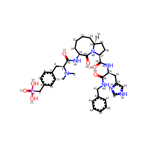 CN(C)[C@@H](Cc1ccc(CP(=O)(O)O)cc1)C(=O)N[C@H]1CCCC[C@H]2CC[C@@H](C(=O)N[C@@H](Cc3c[nH]cn3)C(=O)NCc3ccccc3)N2C1=O